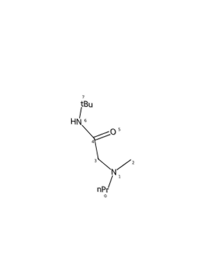 CCCN(C)CC(=O)NC(C)(C)C